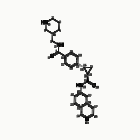 O=C(NCC1CCCNC1)c1ccc([C@@H]2C[C@H]2C(=O)Nc2ccc3cnccc3c2)cc1